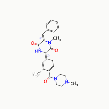 CC1=C/C(=c2\[nH]c(=O)/c(=C/c3ccccc3)n(C)c2=O)CC=C1C(=O)N1CCN(C)CC1